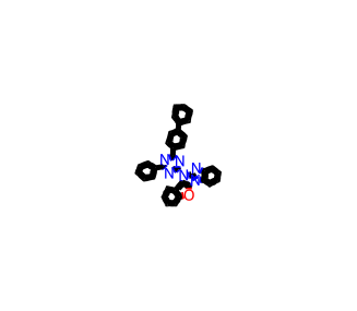 c1ccc(-c2ccc(-c3nc(-c4ccccc4)nc(-n4c5c6ccccc6oc5n5c6ccccc6nc45)n3)cc2)cc1